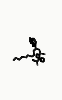 C=C(C)C(=O)OC(C)CC(CCCCCCCCC)n1ccnc1